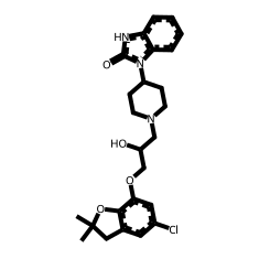 CC1(C)Cc2cc(Cl)cc(OCC(O)CN3CCC(n4c(=O)[nH]c5ccccc54)CC3)c2O1